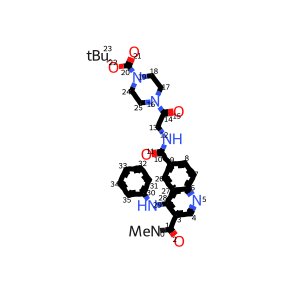 CNC(=O)c1cnc2ccc(C(=O)NCC(=O)N3CCN(C(=O)OC(C)(C)C)CC3)cc2c1Nc1ccccc1